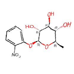 C[C@H]1O[C@@H](Oc2ccccc2[N+](=O)[O-])[C@H](O)[C@@H](O)[C@@H]1O